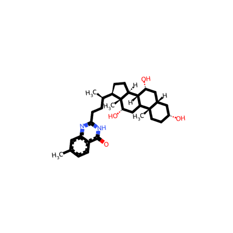 Cc1ccc2c(=O)[nH]c(CC[C@@H](C)[C@H]3CC[C@H]4[C@H]5C(C[C@H](O)[C@]34C)[C@@]3(C)CC[C@@H](O)C[C@H]3C[C@H]5O)nc2c1